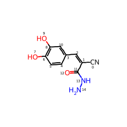 N#CC(=Cc1ccc(O)c(O)c1)C(=O)NN